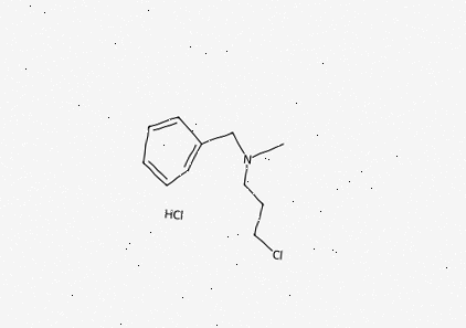 CN(CCCCl)Cc1ccccc1.Cl